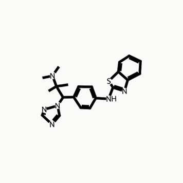 CN(C)C(C)(C)C(c1ccc(Nc2nc3ccccc3s2)cc1)n1cncn1